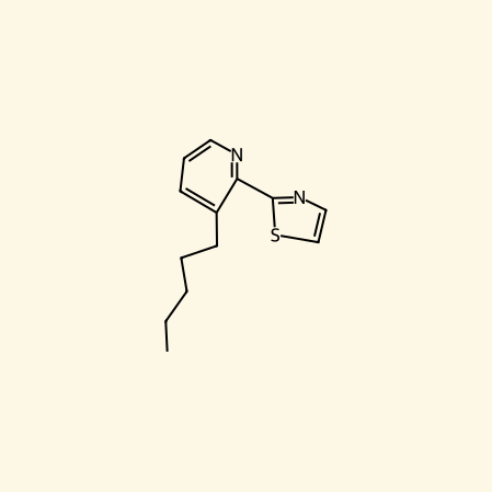 CCCCCc1cccnc1-c1nccs1